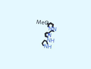 COc1ccc2ncc(-c3cccc(NC4CCCNC4)n3)n2c1